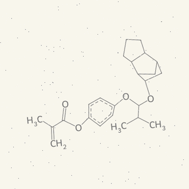 C=C(C)C(=O)Oc1ccc(OC(OC2CC3CC2C2CCCC32)C(C)C)cc1